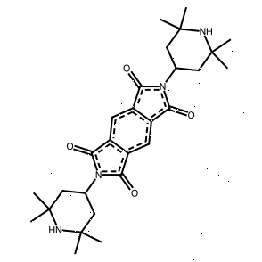 CC1(C)CC(n2c(=O)c3cc4c(=O)n(C5CC(C)(C)NC(C)(C)C5)c(=O)c4cc3c2=O)CC(C)(C)N1